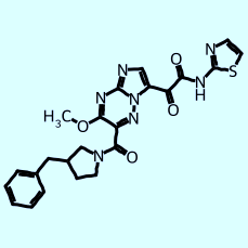 COc1nc2ncc(C(=O)C(=O)Nc3nccs3)n2nc1C(=O)N1CCC(Cc2ccccc2)C1